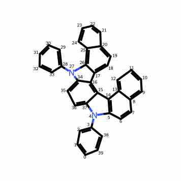 c1ccc(-n2c3ccc4ccccc4c3c3c4c5ccc6ccccc6c5n(-c5ccccc5)c4ccc32)cc1